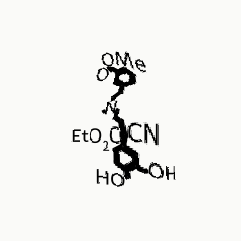 CCOC(=O)C(C#N)(CCCN(C)CCc1cccc(C(=O)OC)c1)c1ccc(CO)c(CO)c1